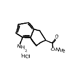 COC(=O)C1Cc2cccc(N)c2C1.Cl